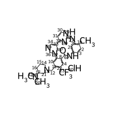 Cc1ccc(NC(=O)c2ccc(CN3CCC[C@H](N(C)C)C3)c(C(F)(F)F)c2)cc1Nc1nccc(-c2cncnc2)n1.Cl